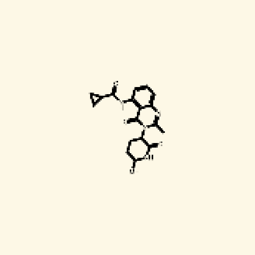 Cc1nc2cccc(NC(=O)C3CC3)c2c(=O)n1C1CCC(O)NC1=O